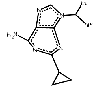 CCC(C(C)C)n1cnc2c(N)nc(C3CC3)nc21